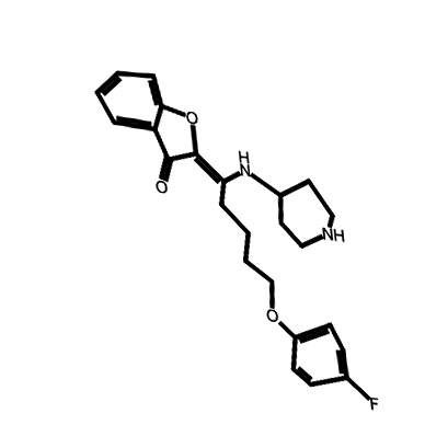 O=C1C(=C(CCCCOc2ccc(F)cc2)NC2CCNCC2)Oc2ccccc21